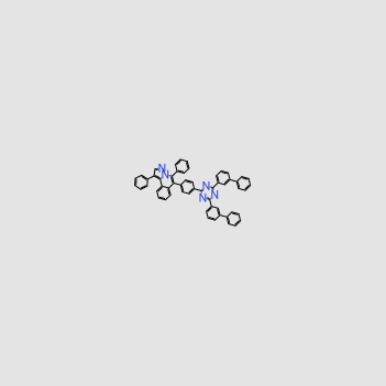 c1ccc(-c2cccc(-c3nc(-c4ccc(-c5c(-c6ccccc6)n6ncc(-c7ccccc7)c6c6ccccc56)cc4)nc(-c4cccc(-c5ccccc5)c4)n3)c2)cc1